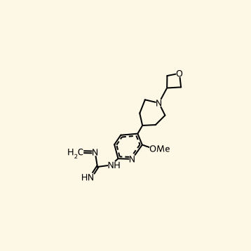 C=NC(=N)Nc1ccc(C2CCN(C3COC3)CC2)c(OC)n1